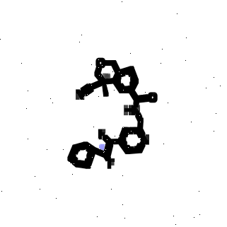 C[C@@]1(C#N)COCc2ccc(C(=O)NCc3cc(/C(F)=C(\F)c4ccccc4)ccn3)cc21